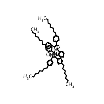 CCCCCCCCc1ccc(C2=NC(c3ccccc3Cl)(n3c(-c4ccccc4Cl)nc(-c4ccc(CCCCCCCC)cc4)c3-c3ccc(CCCCCCCC)cc3)N=C2c2ccc(CCCCCCCC)cc2)cc1